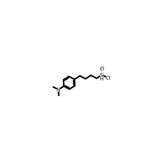 CN(C)c1ccc(CCCC[SiH](Cl)Cl)cc1